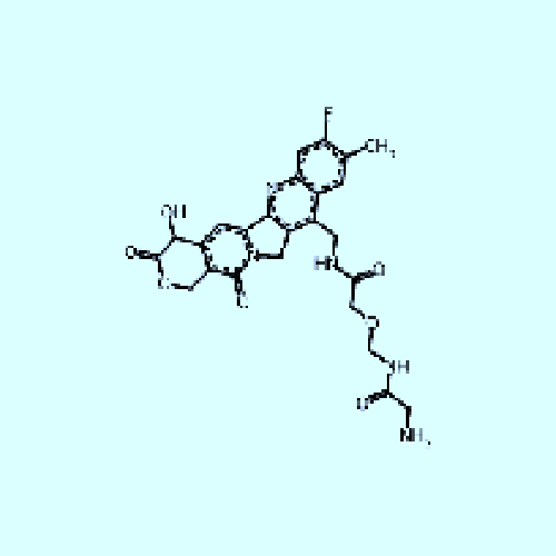 Cc1cc2c(CNC(=O)COCNC(=O)CN)c3c(nc2cc1F)-c1cc2c(c(=O)n1C3)COC(=O)C2O